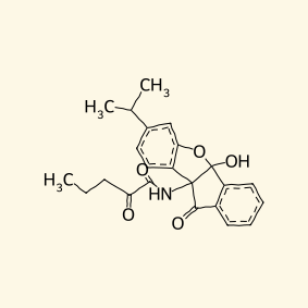 CCCC(=O)C(=O)NC12C(=O)c3ccccc3C1(O)Oc1cc(C(C)C)ccc12